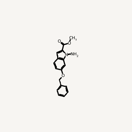 COC(=O)c1cc2ccc(OCc3ccccc3)cc2n1N